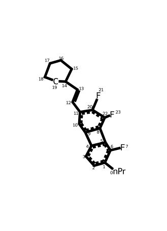 CCCc1ccc2c(c1F)-c1c-2cc(/C=C/C2CCCCC2)c(F)c1F